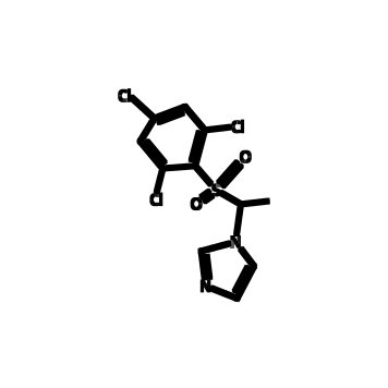 CC(n1ccnc1)S(=O)(=O)c1c(Cl)cc(Cl)cc1Cl